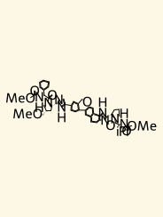 COC[C@H]1C[C@@H](c2ncc(-c3ccc4c(c3)COc3cc5c(ccc6nc([C@@H]7CCCN7C(=O)[C@@H](NC(=O)OC)C(C)C)[nH]c65)cc3-4)[nH]2)N(C(=O)[C@H](NC(=O)OC)c2ccccc2)C1